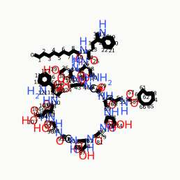 CCCCCCCCCC(=O)N[C@@H](CCc1c[nH]c2ccccc12)C(=O)N[C@@H](CC(N)=O)C(=O)N[C@@H](CC(=O)O)C(=O)N[C@@H]1C(=O)NCC(=O)N[C@@H](CCCNC(=O)OC2CC/C=C/CCC2)C(=O)NC(CC(=O)O)C(=O)N[C@H](C)C(=O)N[C@@H](CC(=O)O)C(=O)NCC(=O)N[C@H](CO)C(=O)N[C@@H]([C@@H](C)CC(=O)O)C(=O)N[C@@H](CC(=O)c2ccccc2N)C(=O)O[C@@H]1C